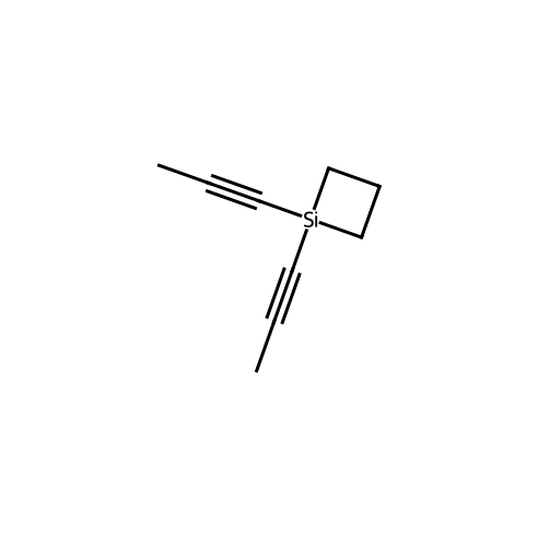 CC#C[Si]1(C#CC)CCC1